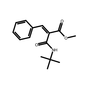 COC(=O)/C(=C/c1ccccc1)C(=O)NC(C)(C)C